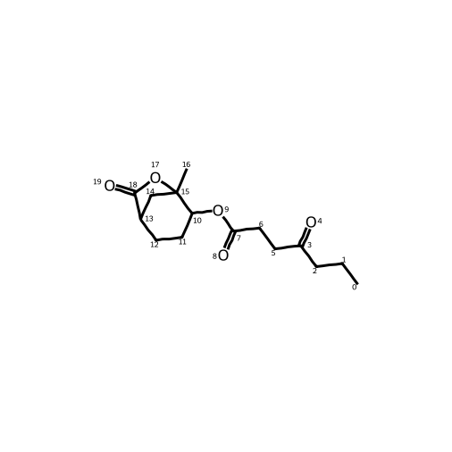 CCCC(=O)CCC(=O)OC1CCC2CC1(C)OC2=O